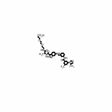 Cc1cncn1-c1cc(C(=O)Nc2cccc(CNc3ccc4c(C(=O)N[C@@H](C)C(=O)NCCOCCOCCC(=O)O)[nH]nc4c3)c2)cc(C(F)(F)F)c1